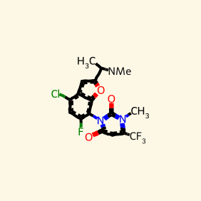 CNC(C)c1cc2c(Cl)cc(F)c(-n3c(=O)cc(C(F)(F)F)n(C)c3=O)c2o1